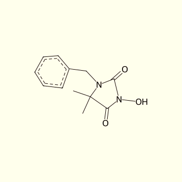 CC1(C)C(=O)N(O)C(=O)N1Cc1ccccc1